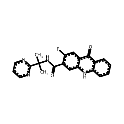 CC(C)(NC(=O)c1cc2[nH]c3ccccc3c(=O)c2cc1F)c1ncccn1